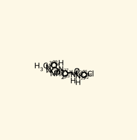 Cn1nc(N)c2c(C(=O)Nc3cccc(CNC(=O)Nc4ccc(Cl)cc4)c3)cccc21